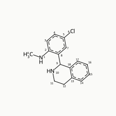 CNc1ccc(Cl)cc1C1NCCc2ccccc21